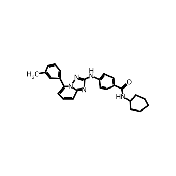 Cc1cccc(-c2cccc3nc(Nc4ccc(C(=O)NC5CCCCC5)cc4)nn23)c1